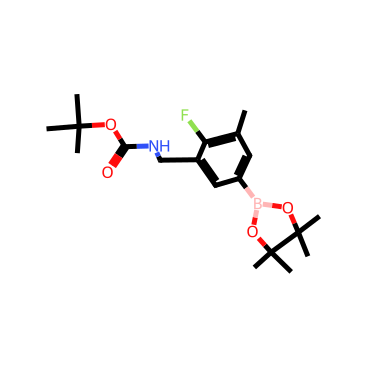 Cc1cc(B2OC(C)(C)C(C)(C)O2)cc(CNC(=O)OC(C)(C)C)c1F